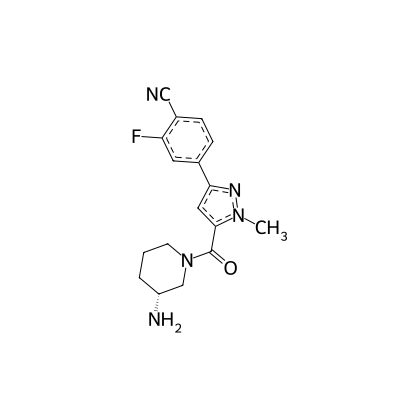 Cn1nc(-c2ccc(C#N)c(F)c2)cc1C(=O)N1CCC[C@@H](N)C1